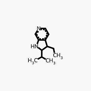 CCC1c2ccncc2NC1C(C)C